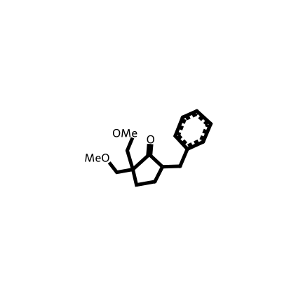 COCC1(COC)CCC(Cc2ccccc2)C1=O